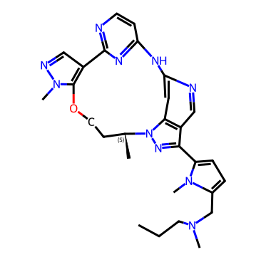 CCCN(C)Cc1ccc(-c2nn3c4cc(ncc24)Nc2ccnc(n2)-c2cnn(C)c2OCC[C@@H]3C)n1C